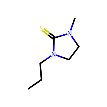 CCCN1CCN(C)C1=S